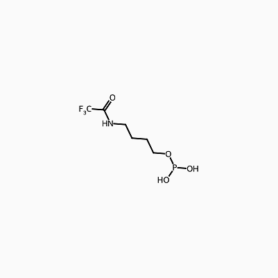 O=C(NCCCCOP(O)O)C(F)(F)F